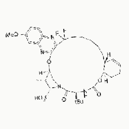 COc1ccc2nc3c(nc2c1)O[C@H]1CN(C(=O)[C@H](C(C)(C)C)NC(=O)O[C@@H]2CCC=C[C@H]2CCCCCC3(F)F)[C@H](C(=O)O)[C@@H]1C